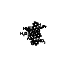 CC(=O)N(C1COc2ccc([N+](=O)[O-])cc21)[C@@H](Cc1ccccc1)C(=O)N[C@@H](Cc1c[nH]cn1)C(=O)NC(CC1CCCCC1)C(O)CC(=O)NCC(C)C.O